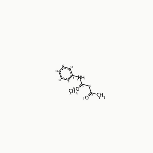 C.CC(=O)CC(=O)Nc1ccccc1